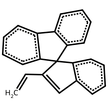 C=CC1=Cc2ccccc2C12c1ccccc1-c1ccccc12